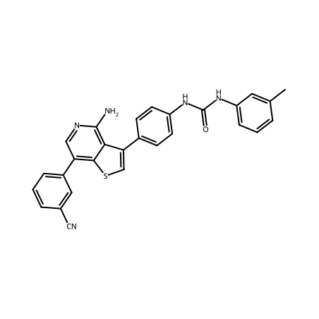 Cc1cccc(NC(=O)Nc2ccc(-c3csc4c(-c5cccc(C#N)c5)cnc(N)c34)cc2)c1